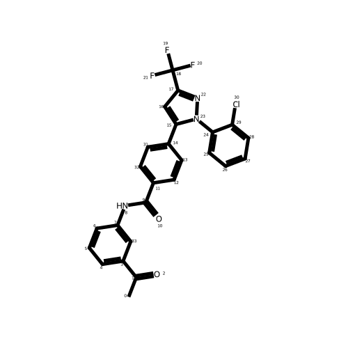 CC(=O)c1cccc(NC(=O)c2ccc(-c3cc(C(F)(F)F)nn3-c3ccccc3Cl)cc2)c1